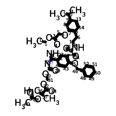 CCOC(=O)COc1cc(C(C)C)ccc1CCNS(=O)(=O)c1cc(/C(N)=N\C(=O)OCOC(=O)C(C)(C)OC(C)=O)ccc1OCc1ccccc1